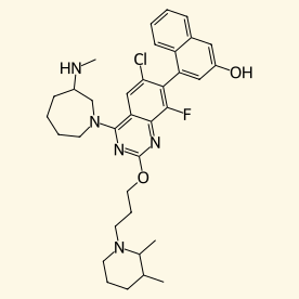 CNC1CCCCN(c2nc(OCCCN3CCCC(C)C3C)nc3c(F)c(-c4cc(O)cc5ccccc45)c(Cl)cc23)C1